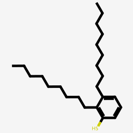 CCCCCCCCCc1cccc(S)c1CCCCCCCCC